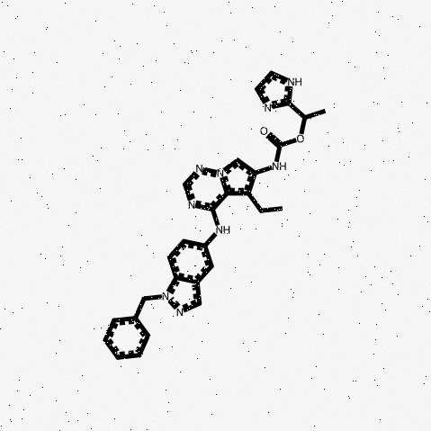 CCc1c(NC(=O)OC(C)c2ncc[nH]2)cn2ncnc(Nc3ccc4c(cnn4Cc4ccccc4)c3)c12